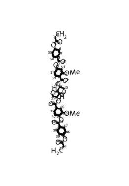 C=CC(=O)Oc1ccc(C(=O)Oc2ccc(C(=O)O[C@@H]3CO[C@H]4[C@@H]3OC[C@H]4OC(=O)c3ccc(OC(=O)c4ccc(OC(=O)C=C)cc4)c(OC)c3)c(OC)c2)cc1